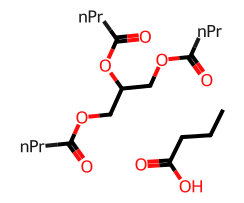 CCCC(=O)O.CCCC(=O)OCC(COC(=O)CCC)OC(=O)CCC